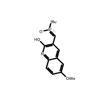 COc1ccc2nc(O)c(/C=[N+](\[O-])C(C)(C)C)cc2c1